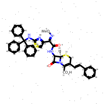 CO/N=C(/C(=O)NC1C(=O)N2C(C(=O)O)=C(/C=C/c3ccccc3)CS[C@H]12)c1csc(NC(c2ccccc2)(c2ccccc2)c2ccccc2)n1